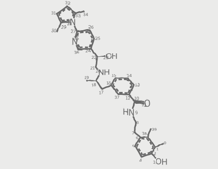 Cc1c(O)ccc(CCNC(=O)c2cccc(C[C@@H](C)NC[C@H](O)c3ccc(-n4c(C)ccc4C)nc3)c2)c1C